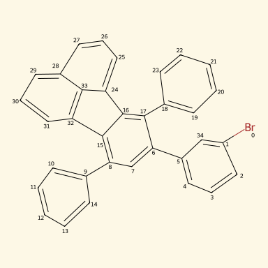 Brc1cccc(-c2cc(-c3ccccc3)c3c(c2-c2ccccc2)-c2cccc4cccc-3c24)c1